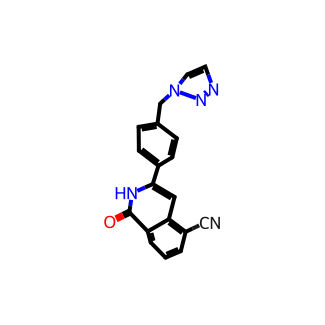 N#Cc1cccc2c(=O)[nH]c(-c3ccc(Cn4ccnn4)cc3)cc12